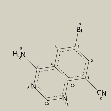 N#Cc1cc(Br)cc2c(N)ncnc12